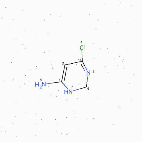 NC1=CC(Cl)=NCN1